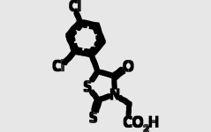 O=C(O)CN1C(=O)C(c2ccc(Cl)cc2Cl)SC1=S